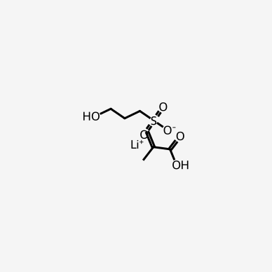 C=C(C)C(=O)O.O=S(=O)([O-])CCCO.[Li+]